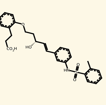 Cc1ccccc1S(=O)(=O)Nc1cccc(/C=C/[C@H](O)CCOc2ccccc2CCC(=O)O)c1